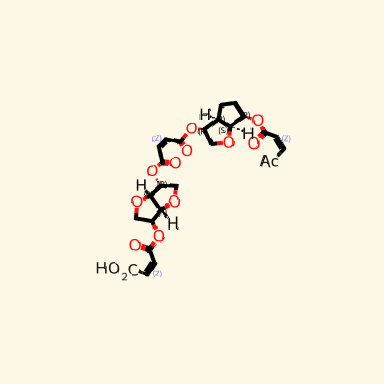 CC(=O)/C=C\C(=O)O[C@@H]1CC[C@H]2[C@@H]1OC[C@@H]2OC(=O)/C=C\C(=O)O[C@@H]1CO[C@@H]2C(OC(=O)/C=C\C(=O)O)CO[C@@H]21